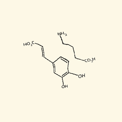 NCCCC(=O)O.O=C(O)C=Cc1ccc(O)c(O)c1